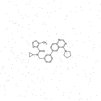 Cc1ccsc1C(=O)N(Cc1cccc(-c2ccc3ncnc(N4CCCC4)c3c2)c1)C1CC1